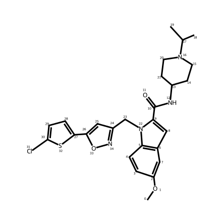 COc1ccc2c(c1)cc(C(=O)NC1CCN(C(C)C)CC1)n2Cc1cc(-c2ccc(Cl)s2)on1